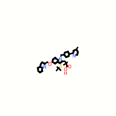 Cc1ccnc(-c2ccc(Cn3c(CC(C)(C)C(=O)O)c(SC(C)(C)C)c4cc(OCc5ccc6ccccc6n5)ccc43)cc2)c1